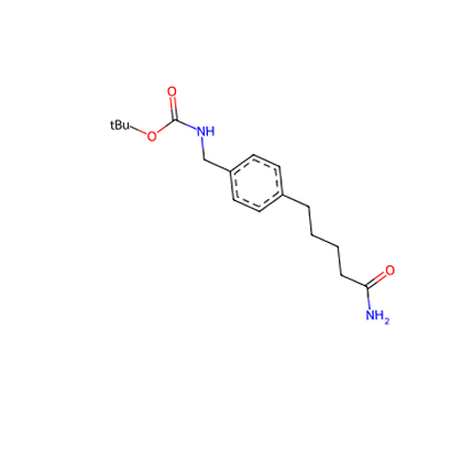 CC(C)(C)OC(=O)NCc1ccc(CCCCC(N)=O)cc1